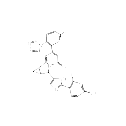 Nc1ccc(-c2ncc(C3C4CC4c4cc(-c5cc(Cl)ccc5-n5cnnn5)cc(=O)n43)[nH]2)c(F)n1